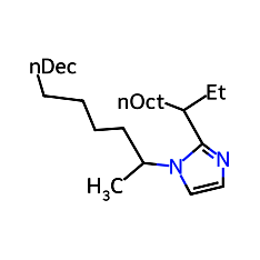 CCCCCCCCCCCCCCC(C)n1ccnc1C(CC)CCCCCCCC